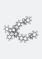 c1ccc(-n2c3ccccc3c3ccccc32)c(-c2nc(-c3ccc4ccc(-c5nc6ccccc6o5)cc4c3)nc(-c3ccc4ccc(-c5nc6ccccc6o5)cc4c3)n2)c1